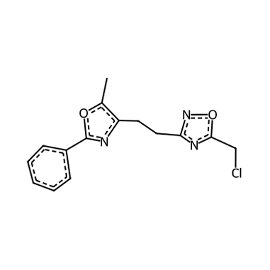 Cc1oc(-c2ccccc2)nc1CCc1noc(CCl)n1